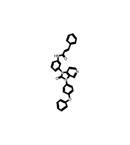 O=C(C=Cc1ccccc1)Nc1cccc(-n2c(=O)n(-c3ccc(Oc4ccccc4)cc3)c3cnccc32)c1